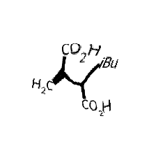 C=C(C(=O)O)C(C(=O)O)C(C)CC